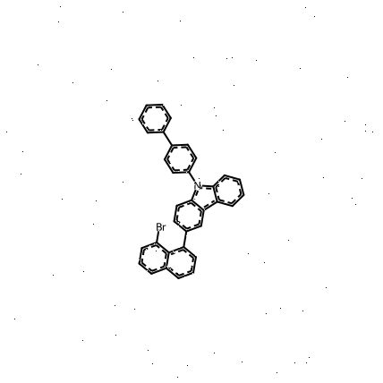 Brc1cccc2cccc(-c3ccc4c(c3)c3ccccc3n4-c3ccc(-c4ccccc4)cc3)c12